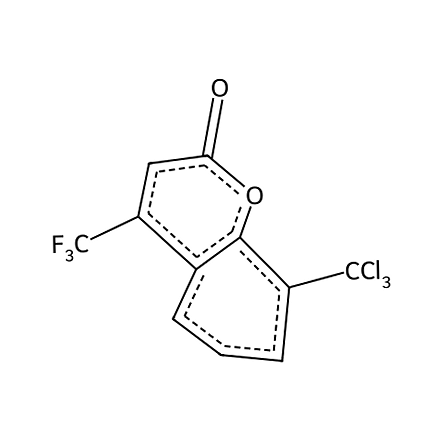 O=c1cc(C(F)(F)F)c2cccc(C(Cl)(Cl)Cl)c2o1